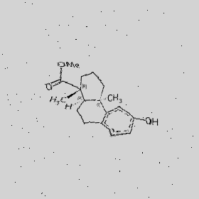 COC(=O)[C@]1(C)CCC[C@@]2(C)c3cc(O)ccc3CC[C@@H]12